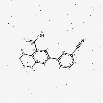 N#Cc1cccc(-c2cc3c(c(C(=O)O)c2)OCCO3)c1